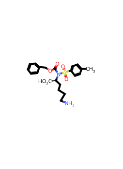 Cc1ccc(S(=O)(=O)N(C(=O)OCc2ccccc2)[C@@H](CCCCN)C(=O)O)cc1